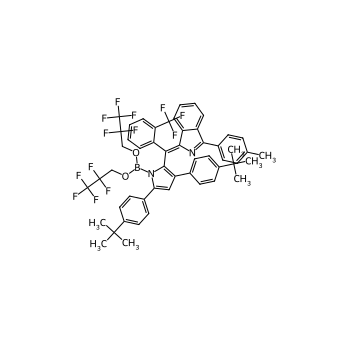 Cc1ccc(C2=N/C(=C(/c3ccccc3C(F)(F)F)c3c(-c4ccc(C(C)(C)C)cc4)cc(-c4ccc(C(C)(C)C)cc4)n3B(OCC(F)(F)C(F)(F)F)OCC(F)(F)C(F)(F)F)c3ccccc32)cc1